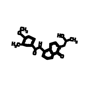 COc1ccc(C(=O)Nc2cccc3c(=O)n(CC(C)O)ccc23)cc1C